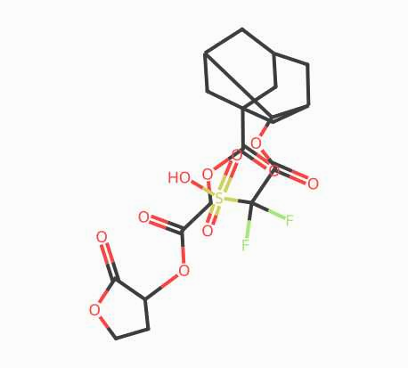 O=C(COC(=O)C12CC3CC(C1)C(OC(=O)C(F)(F)S(=O)(=O)O)C(C3)C2)OC1CCOC1=O